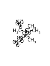 CCO[Si](OCC)(OCC)OCC.O=[N+]([O-])[O-].O=[N+]([O-])[O-].O=[N+]([O-])[O-].[Al+3]